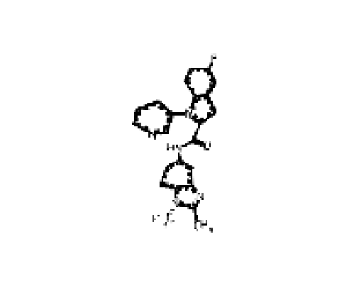 Cc1nc2cc(NC(=O)c3cc4cc(F)ccc4n3-c3cccnc3)ccc2n1C